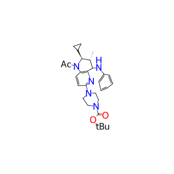 CC(=O)N1c2ccc(N3CCN(C(=O)OC(C)(C)C)CC3)nc2C(Nc2ccccc2)[C@@H](C)[C@@H]1C1CC1